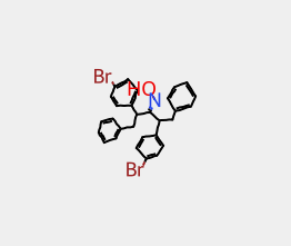 ON=C(C(Cc1ccccc1)c1ccc(Br)cc1)C(Cc1ccccc1)c1ccc(Br)cc1